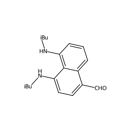 CCC(C)Nc1cccc2c(C=O)ccc(NC(C)CC)c12